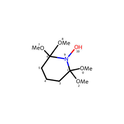 COC1(OC)CCCC(OC)(OC)N1O